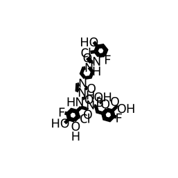 O=C(O)c1c(F)ccc2c1OB(O)C(NC(=O)C(NC(=O)N1CCN(C3CCN(C(=O)Nc4c(F)ccc(O)c4Cl)CC3)C1=O)c1cc(F)c(O)c(O)c1Cl)C2